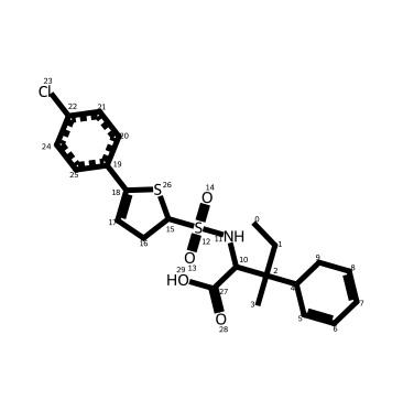 CCC(C)(C1C=CC=CC1)C(NS(=O)(=O)C1CC=C(c2ccc(Cl)cc2)S1)C(=O)O